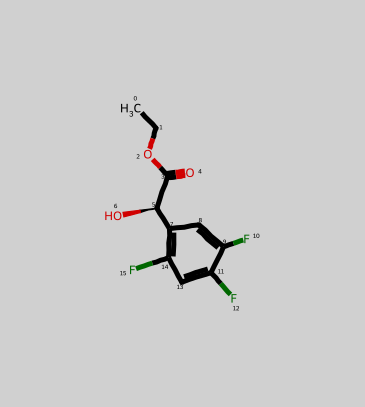 CCOC(=O)[C@H](O)c1cc(F)c(F)cc1F